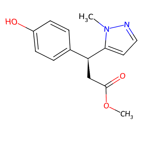 COC(=O)C[C@@H](c1ccc(O)cc1)c1ccnn1C